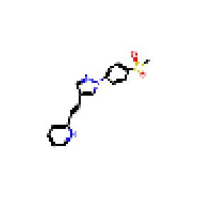 CS(=O)(=O)c1ccc(-n2cc(C#Cc3ccccn3)cn2)cc1